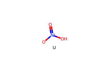 O=[N+]([O-])O.[U]